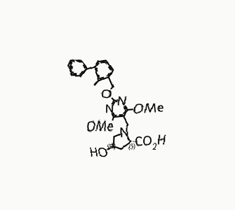 COc1nc(OCc2cccc(-c3ccccc3)c2C)nc(OC)c1CN1C[C@H](O)C[C@H]1C(=O)O